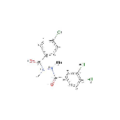 CN(C(=O)c1ccc(Cl)cc1)N(C(=O)c1ccc(Cl)c(Cl)c1)C(C)(C)C